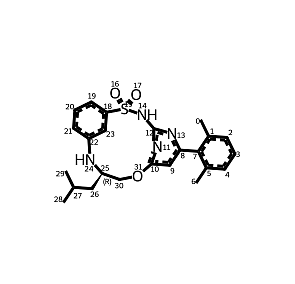 Cc1cccc(C)c1-c1cc2nc(n1)NS(=O)(=O)c1cccc(c1)N[C@H](CC(C)C)CO2